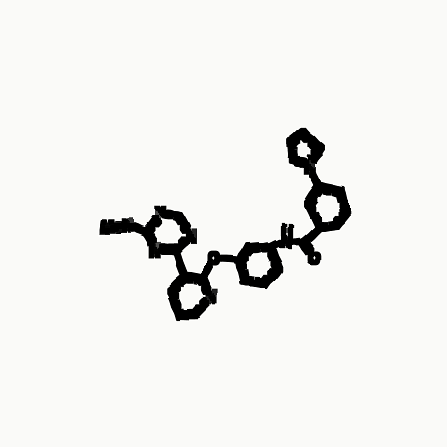 CNc1ncnc(-c2cccnc2Oc2cccc(NC(=O)c3cccc(-n4cccc4)c3)c2)n1